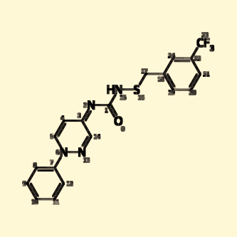 O=C(N=c1ccn(-c2ccccc2)nc1)NSCc1cccc(C(F)(F)F)c1